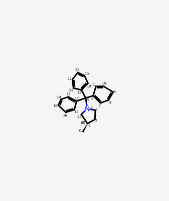 C[C@@H]1CCN(C(c2ccccc2)(c2ccccc2)c2ccccc2)C1